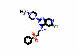 CN1CCN(c2nc(NCCS(=O)(=O)c3ccccc3)c3cc(Cl)ncc3n2)CC1